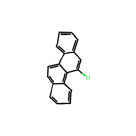 Clc1cc2ccccc2c2ccc3ccccc3c12